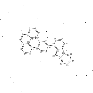 c1cnc2c(c1)ccc1cccc(-c3ccc(-c4cccc5c4sc4ccccc45)cc3)c12